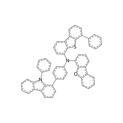 c1ccc(-c2cccc3c2sc2c(N(c4ccc(-c5cccc6c7ccccc7n(-c7ccccc7)c56)cc4)c4cccc5c4oc4ccccc45)cccc23)cc1